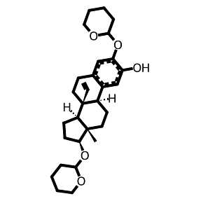 C=C[C@@]12CCc3cc(OC4CCCCO4)c(O)cc3[C@H]1CC[C@]1(C)[C@@H](OC3CCCCO3)CC[C@H]12